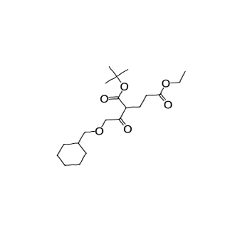 CCOC(=O)CCC(C(=O)COCC1CCCCC1)C(=O)OC(C)(C)C